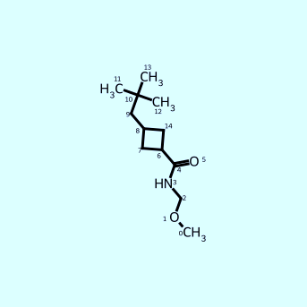 COCNC(=O)C1CC(CC(C)(C)C)C1